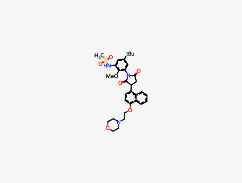 COc1c(NS(C)(=O)=O)cc(C(C)(C)C)cc1N1C(=O)CC(c2ccc(OCCN3CCOCC3)c3ccccc23)C1=O